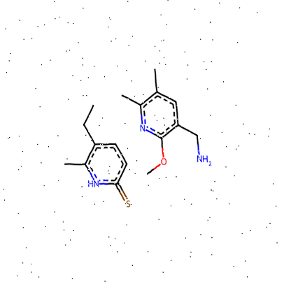 CCc1ccc(=S)[nH]c1C.COc1nc(C)c(C)cc1CN